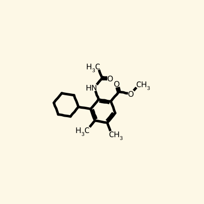 COC(=O)c1cc(C)c(C)c(C2CCCCC2)c1NC(C)=O